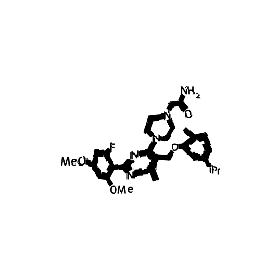 COc1cc(F)c(-c2nc(C)c(COc3cc(C(C)C)ccc3C)c(N3CCN(CC(N)=O)CC3)n2)c(OC)c1